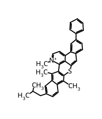 Cc1c2c(c(C)c3cc(CC(C)C)ccc13)-c1c3c(cc4ccc(-c5ccccc5)cc4c3cc[n+]1C)S2